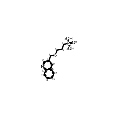 O=P(O)(O)CCCSCc1cnc2ccccc2c1